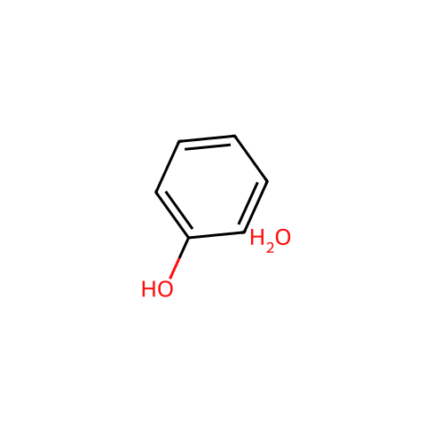 O.Oc1ccccc1